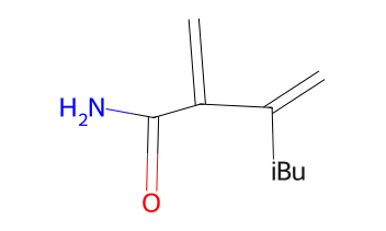 C=C(C(=C)C(C)CC)C(N)=O